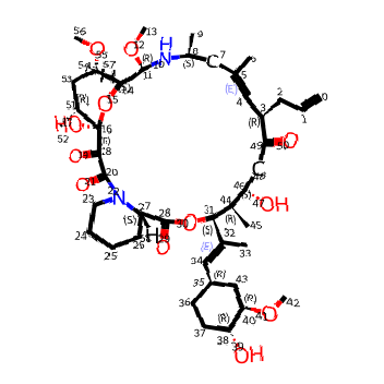 C=CC[C@@H]1/C=C(\C)C[C@H](C)N[C@H](OC)[C@H]2O[C@@](O)(C(=O)C(=O)N3CCCC[C@H]3C(=O)O[C@H](/C(C)=C/[C@@H]3CC[C@@H](O)[C@H](OC)C3)[C@H](C)[C@@H](O)CC1=O)[C@H](C)C[C@@H]2OC